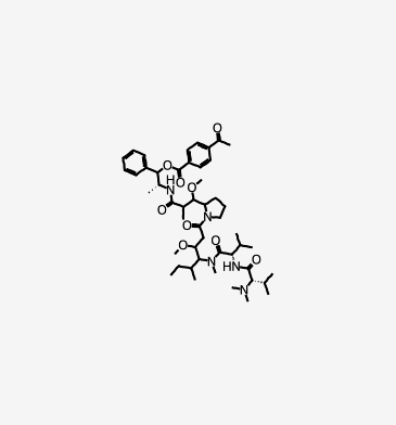 CCC(C)C(C(CC(=O)N1CCCC1C(OC)C(C)C(=O)N[C@H](C)C(OC(=O)c1ccc(C(C)=O)cc1)c1ccccc1)OC)N(C)C(=O)[C@@H](NC(=O)[C@H](C(C)C)N(C)C)C(C)C